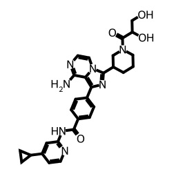 Nc1nccn2c(C3CCCN(C(=O)C(O)CO)C3)nc(-c3ccc(C(=O)Nc4cc(C5CC5)ccn4)cc3)c12